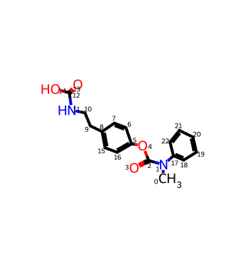 CN(C(=O)Oc1ccc(CCNC(=O)O)cc1)c1ccccc1